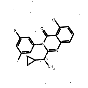 N[C@H](c1nc2cccc(Cl)c2c(=O)n1-c1cc(F)cc(F)c1)C1CC1